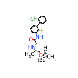 CC(CO[Si](C)(C)C(C)(C)C)NCC(=O)Nc1cccc(-c2ccccc2Cl)c1F